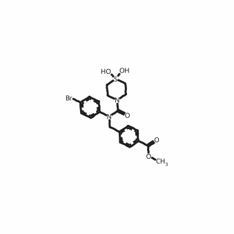 COC(=O)c1ccc(CN(C(=O)N2CCS(O)(O)CC2)c2ccc(Br)cc2)cc1